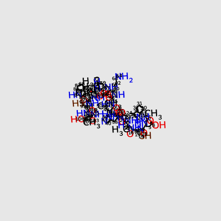 CCCNC(CC(=O)O)C(=O)N[C@@H](CS)C(=O)NC(C)C(=O)N[C@@H](Cc1c[nH]c2ccccc12)C(=O)NC(Cc1cnc[nH]1)C(=O)N[C@@H](CC(C)C)C(=O)NCC(=O)N[C@@H](CCCCN)C(=O)NC(CC(C)C)C(=O)N[C@H](C(=O)NC(Cc1c[nH]c2ccccc12)C(=O)N[C@@H](CS)C(=O)N[C@H](C(N)=O)[C@@H](C)O)C(C)C